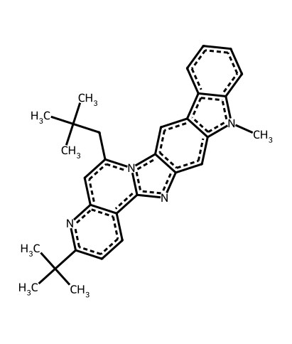 Cn1c2ccccc2c2cc3c(cc21)nc1c2ccc(C(C)(C)C)nc2cc(CC(C)(C)C)n31